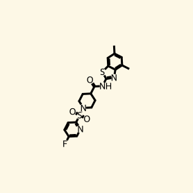 Cc1cc(C)c2nc(NC(=O)C3CCN(S(=O)(=O)c4ccc(F)cn4)CC3)sc2c1